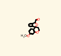 COc1ccc2c(c1)OCCC21OC(C=O)c2ccccc21